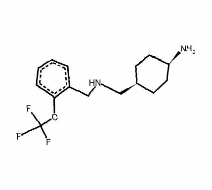 N[C@H]1CC[C@@H](CNCc2ccccc2OC(F)(F)F)CC1